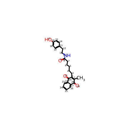 CC1=C(CCCCCC(=O)NCCc2ccc(O)cc2)C(=O)c2ccccc2C1=O